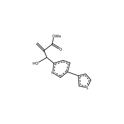 C=C(C(=O)OC)C(O)c1ccc(-c2ccsc2)cn1